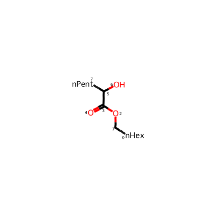 CCCCCCCOC(=O)C(O)CCCCC